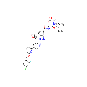 CCC[C@@]1(C)CC[C@@H](C(=O)O)N1C(=O)CNC(=O)c1ccc2c(c1)nc(CN1CCC(c3cccc(OCc4ccc(Cl)cc4F)n3)CC1)n2C[C@@H]1CCO1